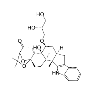 CC1(C)O[C@@]23CC[C@]4(C)[C@@]5(C)c6[nH]c7ccccc7c6C[C@@H]5C[C@H](OCC(O)CO)[C@@]4(O)C2=CC(=O)C1O3